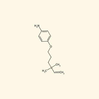 C=C[Si](C)(C)CCCOc1ccc(N)cc1